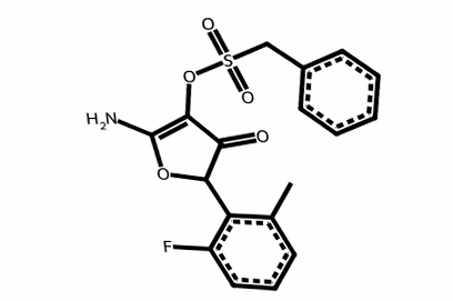 Cc1cccc(F)c1C1OC(N)=C(OS(=O)(=O)Cc2ccccc2)C1=O